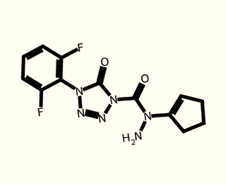 NN(C(=O)n1nnn(-c2c(F)cccc2F)c1=O)C1=CCCC1